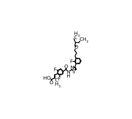 CCC(CC)COCCCc1cccc(-c2csc(NC(=O)c3cc(F)c(/C=C(\C)C(=O)O)c(F)c3)n2)c1F